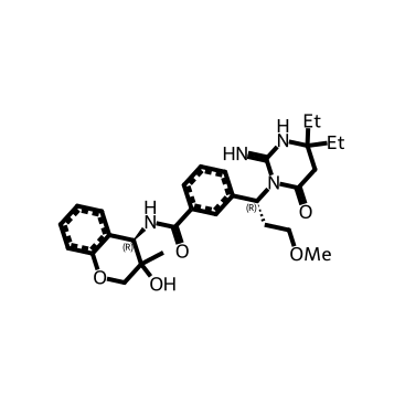 CCC1(CC)CC(=O)N([C@H](CCOC)c2cccc(C(=O)N[C@@H]3c4ccccc4OCC3(C)O)c2)C(=N)N1